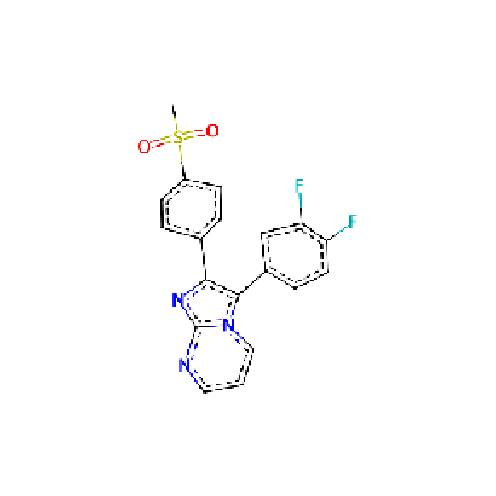 CS(=O)(=O)c1ccc(-c2nc3ncccn3c2-c2ccc(F)c(F)c2)cc1